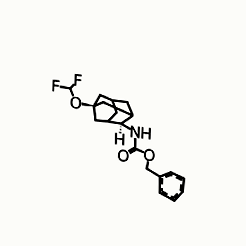 O=C(N[C@H]1C2CC3CC1C[C@@](OC(F)F)(C3)C2)OCc1ccccc1